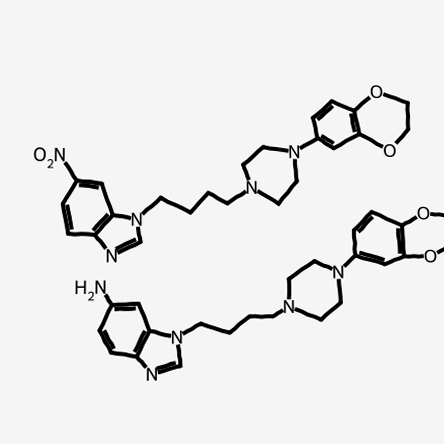 Nc1ccc2ncn(CCCCN3CCN(c4ccc5c(c4)OCCO5)CC3)c2c1.O=[N+]([O-])c1ccc2ncn(CCCCN3CCN(c4ccc5c(c4)OCCO5)CC3)c2c1